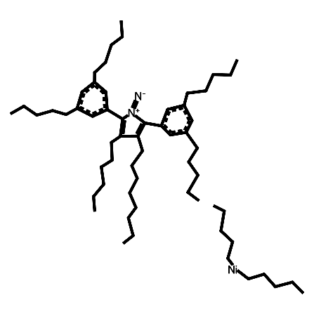 CCCCCCCCC1=C(c2cc(CCCCC)cc(CCCCC)c2)[N+](=[N-])C(c2cc(CCCCC)cc(CCCCC)c2)=C1CCCCCC.CCCC[CH2][Ni][CH2]CCCC